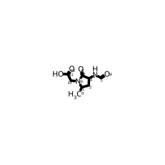 CC1CC(NC=O)C(=O)N1CC(=O)O